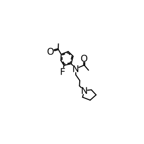 CC(=O)c1ccc(N(CCCN2CCCC2)C(C)=O)c(F)c1